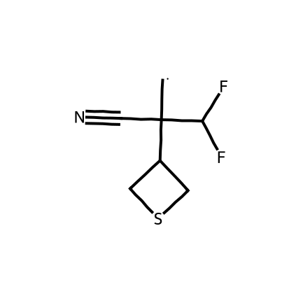 [CH2]C(C#N)(C(F)F)C1CSC1